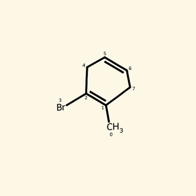 CC1=C(Br)CC=CC1